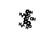 Cc1cc2c(c3c1NC(=O)CC3)OC(C(N)C(=O)[C@@H]1CCCN1)C2.Cl